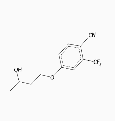 CC(O)CCOc1ccc(C#N)c(C(F)(F)F)c1